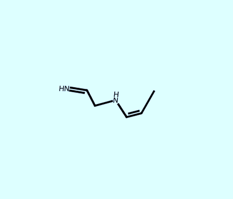 C/C=C\NCC=N